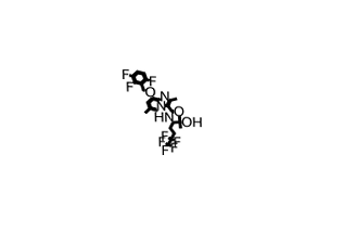 Cc1cc(OCc2c(F)ccc(F)c2F)c2nc(C)c(C(=O)NC(CCC(F)(F)C(F)(F)F)C(C)(C)O)n2c1